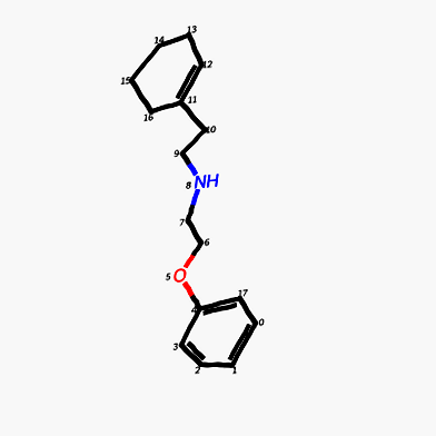 [c]1cccc(OCCNCCC2=CCCCC2)c1